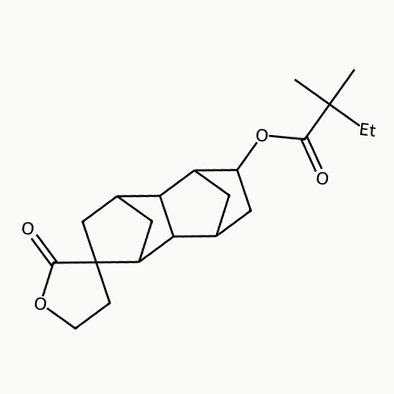 CCC(C)(C)C(=O)OC1CC2CC1C1C3CC(C21)C1(CCOC1=O)C3